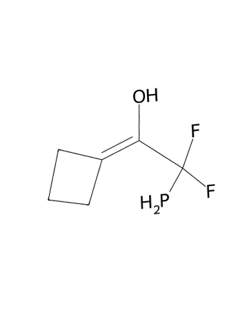 OC(=C1CCC1)C(F)(F)P